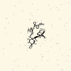 CC(C)(C)OC(=O)NCCC1(C#C[Si](C)(C)C)C=CC(=O)CC1